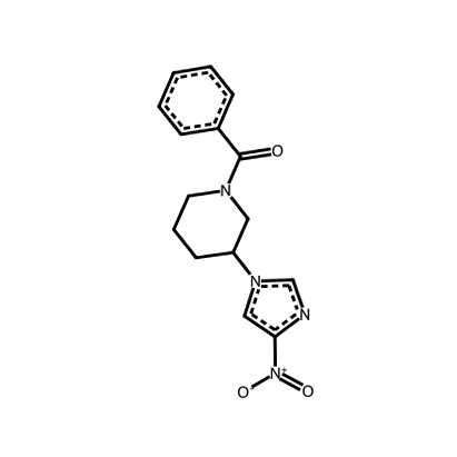 O=C(c1ccccc1)N1CCCC(n2cnc([N+](=O)[O-])c2)C1